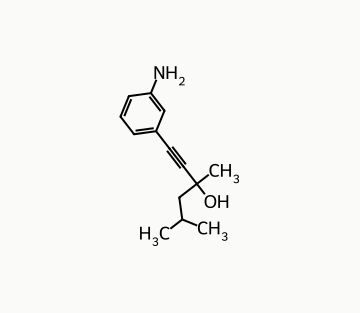 CC(C)CC(C)(O)C#Cc1cccc(N)c1